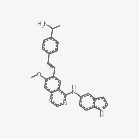 COc1cc2ncnc(Nc3ccc4[nH]ccc4c3)c2cc1/C=C/c1ccc(C(C)N)cc1